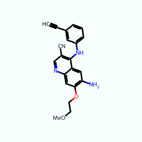 C#Cc1cccc(Nc2c(C#N)cnc3cc(OCCOC)c(N)cc23)c1